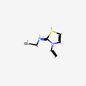 C=Cn1ccs/c1=N/CC(C)(C)C